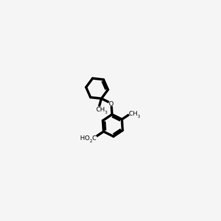 Cc1ccc(C(=O)O)cc1OC1(C)C=CCCC1